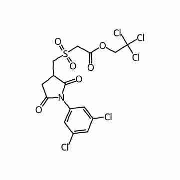 O=C(CS(=O)(=O)CC1CC(=O)N(c2cc(Cl)cc(Cl)c2)C1=O)OCC(Cl)(Cl)Cl